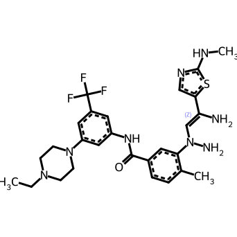 CCN1CCN(c2cc(NC(=O)c3ccc(C)c(N(N)/C=C(\N)c4cnc(NC)s4)c3)cc(C(F)(F)F)c2)CC1